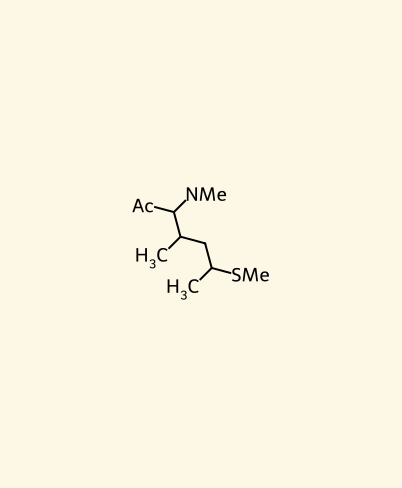 CNC(C(C)=O)C(C)CC(C)SC